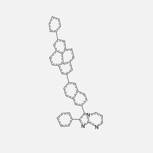 c1ccc(-c2cc3ccc4cc(-c5ccc6cc(-c7c(-c8ccccc8)nc8ncccn78)ccc6c5)cc5ccc(c2)c3c45)cc1